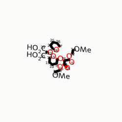 COCCOC(=O)C(OC1CCCCO1)C(=O)OCCOC.O=C(O)C(OC1CCCCO1)C(=O)O